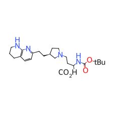 CC(C)(C)OC(=O)NC(CCN1CC[C@H](CCc2ccc3c(n2)NCCC3)C1)C(=O)O